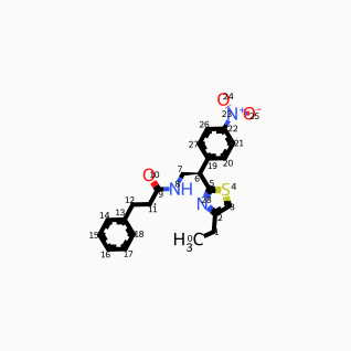 CCc1csc([C@@H](CNC(=O)[CH]Cc2ccccc2)c2ccc([N+](=O)[O-])cc2)n1